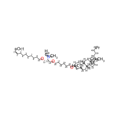 CCCCCCCC/C=C\CCCCCCCCOC[C@@H](COCCCCCCOC1CC[C@@]2(C)C(=CC[C@H]3[C@@H]4CC[C@H]([C@H](C)CCCC(C)C)[C@@]4(C)CC[C@@H]32)C1)N(C)C